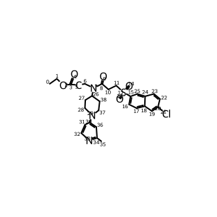 CCOC(=O)CCN(C(=O)CCS(=O)(=O)c1ccc2cc(Cl)ccc2c1)C1CCN(c2ccnc(C)c2)CC1